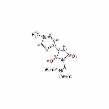 CCCCCN(CCCCC)CN1C(=O)NC(c2ccc(C)cc2)C1=O